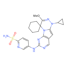 COC1=NN(C2CC2)c2cc3cnc(Nc4ccc(S(N)(=O)=O)nc4)nc3n2C12CCCCC2